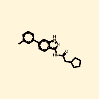 Cc1cccc(-c2ccc3c(NC(=O)CC4CCCC4)n[nH]c3c2)c1